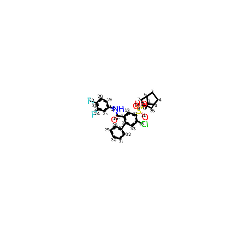 CC1(O)C2CCC1CC(S(=O)(=O)c1cc(C(=O)Nc3ccc(F)c(F)c3)c(-c3ccccc3)cc1Cl)C2